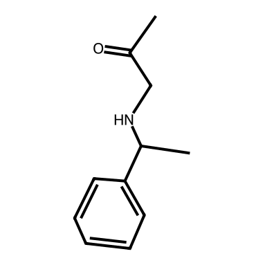 CC(=O)CNC(C)c1ccccc1